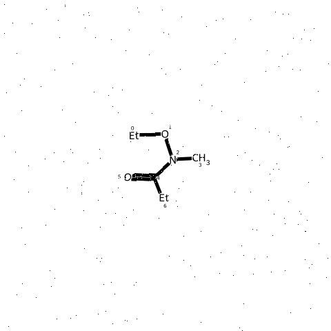 CCON(C)C(=O)CC